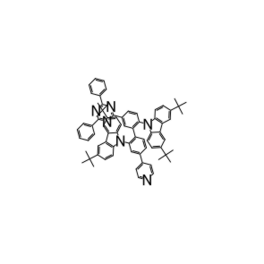 CC(C)(C)c1ccc2c(c1)c1cc(C(C)(C)C)ccc1n2-c1ccc(-c2nc(-c3ccccc3)nc(-c3ccccc3)n2)cc1-c1ccc(-c2ccncc2)cc1-n1c2ccc(C(C)(C)C)cc2c2cc(C(C)(C)C)ccc21